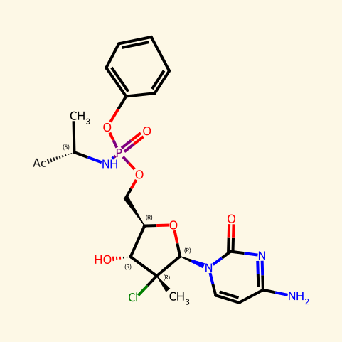 CC(=O)[C@H](C)NP(=O)(OC[C@H]1O[C@@H](n2ccc(N)nc2=O)[C@](C)(Cl)[C@@H]1O)Oc1ccccc1